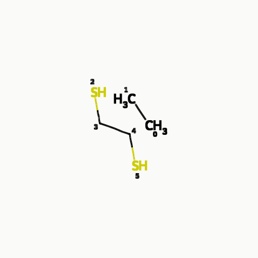 CC.SCCS